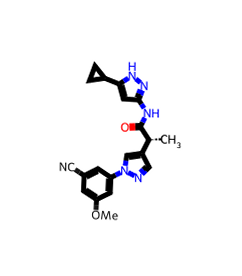 COc1cc(C#N)cc(-n2cc([C@@H](C)C(=O)Nc3cc(C4CC4)[nH]n3)cn2)c1